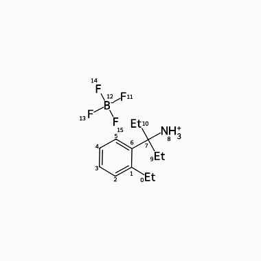 CCc1ccccc1C([NH3+])(CC)CC.F[B-](F)(F)F